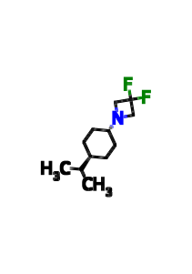 CC(C)[C@H]1CC[C@H](N2CC(F)(F)C2)CC1